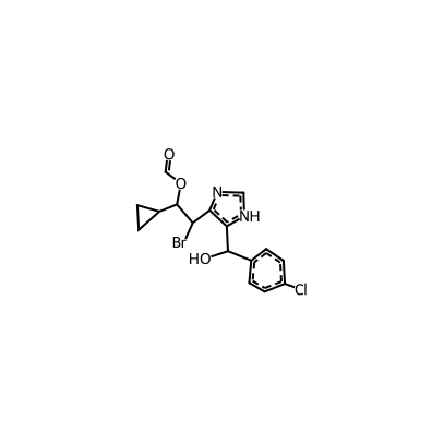 O=COC(C1CC1)C(Br)c1nc[nH]c1C(O)c1ccc(Cl)cc1